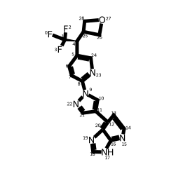 FC(F)(F)[C@H](c1ccc(-n2cc(-c3ccnc4[nH]cnc34)cn2)nc1)C1COC1